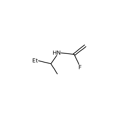 C=C(F)NC(C)CC